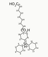 C1CC[CH]([SnH]([CH]2CCCCC2)[CH]2CCCCC2)CC1.O=C(O)CCCCCCCC(=O)O